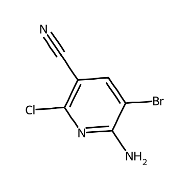 N#Cc1cc(Br)c(N)nc1Cl